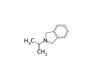 C=C(C)N1Cc2ccccc2C1